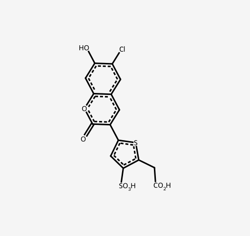 O=C(O)Cc1sc(-c2cc3cc(Cl)c(O)cc3oc2=O)cc1S(=O)(=O)O